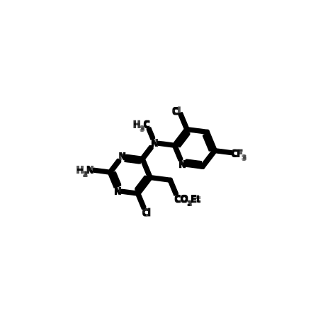 CCOC(=O)Cc1c(Cl)nc(N)nc1N(C)c1ncc(C(F)(F)F)cc1Cl